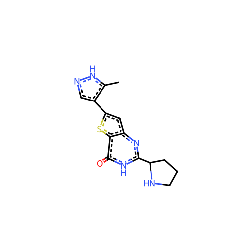 Cc1[nH]ncc1-c1cc2nc(C3CCCN3)[nH]c(=O)c2s1